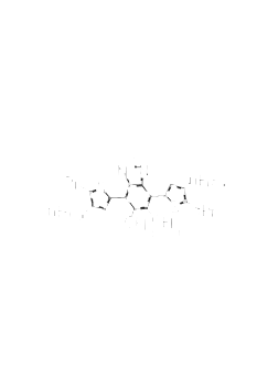 CCCCCCc1cc(-c2c(C)c(C)c(-c3cc(CCCCCC)c(C(C)C)s3)c3nsnc23)sc1C(C)C